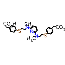 CN(CCSc1ccc(CC(=O)O)cc1)c1cccc(N(C)CCSc2ccc(CC(=O)O)cc2)n1